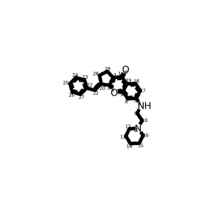 O=c1c2c(oc3cc(NCCN4CCCCC4)ccc13)C(=Cc1ccccc1)CC2